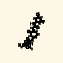 CC(C)(C)NC(=O)CN1CCCN(CC(=O)Nc2cc(F)cc(Cl)c2)C(=O)C1